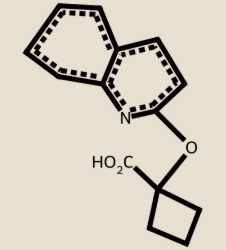 O=C(O)C1(Oc2ccc3ccccc3n2)CCC1